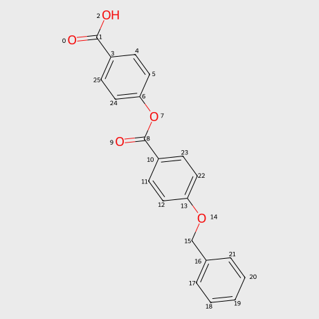 O=C(O)c1ccc(OC(=O)c2ccc(OCc3ccccc3)cc2)cc1